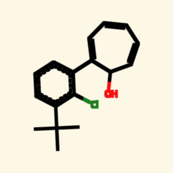 CC(C)(C)c1cccc(C2=CC=CC=CC2O)c1Cl